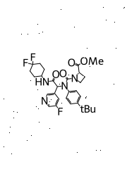 COC(=O)C1CCN1C(=O)N(c1ccc(C(C)(C)C)cc1)C(C(=O)NC1CCC(F)(F)CC1)c1cncc(F)c1